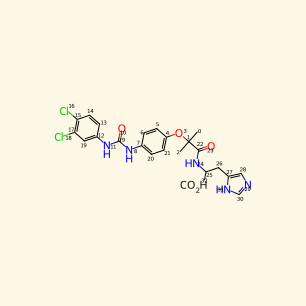 CC(C)(Oc1ccc(NC(=O)Nc2ccc(Cl)c(Cl)c2)cc1)C(=O)NC(Cc1cnc[nH]1)C(=O)O